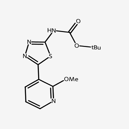 COc1ncccc1-c1nnc(NC(=O)OC(C)(C)C)s1